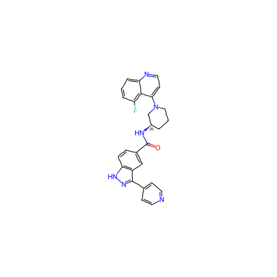 O=C(N[C@@H]1CCCN(c2ccnc3cccc(F)c23)C1)c1ccc2[nH]nc(-c3ccncc3)c2c1